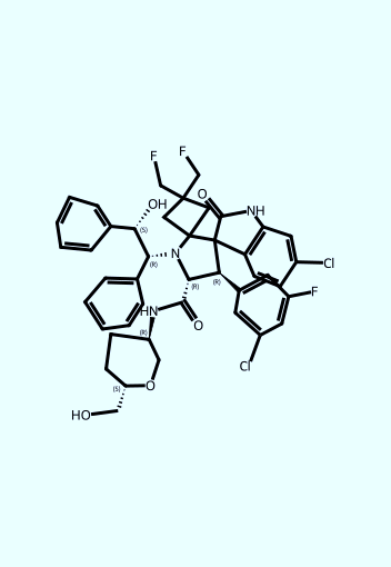 O=C(N[C@@H]1CC[C@@H](CO)OC1)[C@H]1[C@H](c2cc(F)cc(Cl)c2)C2(C(=O)Nc3cc(Cl)ccc32)C2(CC(CF)(CF)C2)N1[C@H](c1ccccc1)[C@@H](O)c1ccccc1